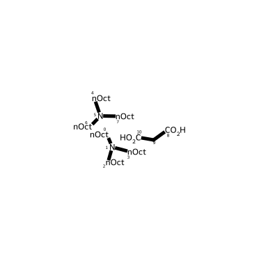 CCCCCCCCN(CCCCCCCC)CCCCCCCC.CCCCCCCCN(CCCCCCCC)CCCCCCCC.O=C(O)CC(=O)O